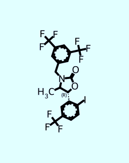 CC1[C@@H](c2cc(C(F)(F)F)ccc2I)OC(=O)N1Cc1cc(C(F)(F)F)cc(C(F)(F)F)c1